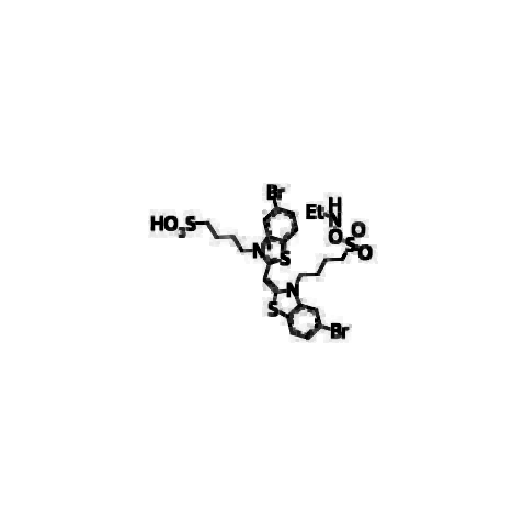 CCNOS(=O)(=O)CCCCN1C(=Cc2sc3ccc(Br)cc3[n+]2CCCCS(=O)(=O)O)Sc2ccc(Br)cc21